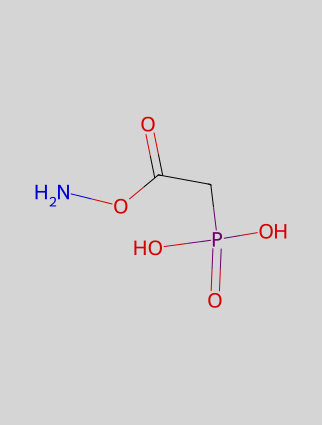 NOC(=O)CP(=O)(O)O